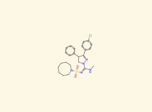 CNC(=NS(=O)(=O)N1CCCCCCC1)N1CC(c2ccccc2)C(c2ccc(Cl)cc2)=N1